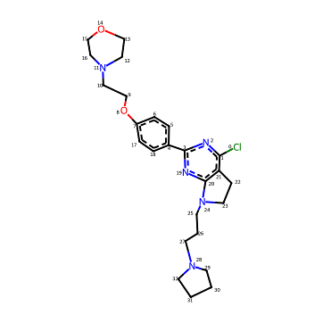 Clc1nc(-c2ccc(OCCN3CCOCC3)cc2)nc2c1CCN2CCCN1CCCC1